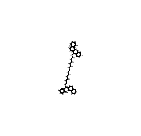 c1ccc2c(c1)ccc1c(CCCCCCCCCCCCCCCc3c4ccccc4nc4c3ccc3ccccc34)c3ccccc3nc12